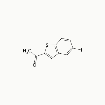 CC(=O)c1cc2cc(I)ccc2s1